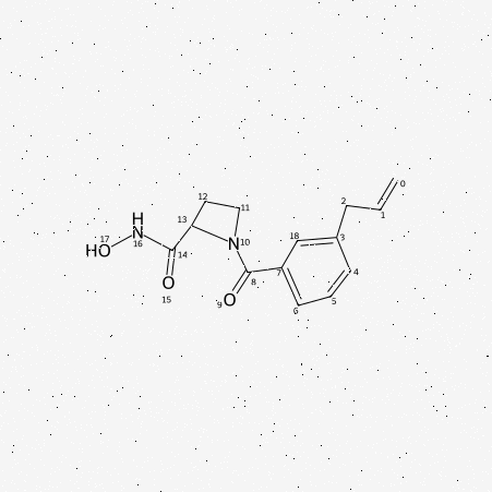 C=CCc1cccc(C(=O)N2CCC2C(=O)NO)c1